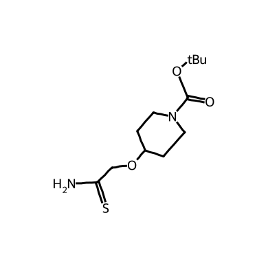 CC(C)(C)OC(=O)N1CCC(OCC(N)=S)CC1